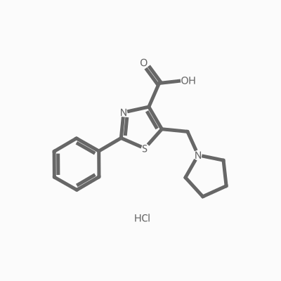 Cl.O=C(O)c1nc(-c2ccccc2)sc1CN1CCCC1